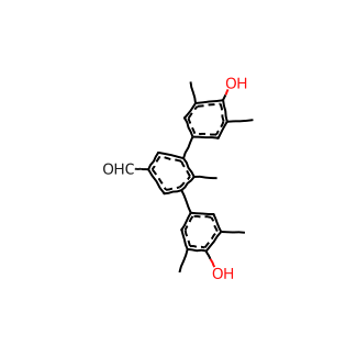 Cc1cc(-c2cc(C=O)cc(-c3cc(C)c(O)c(C)c3)c2C)cc(C)c1O